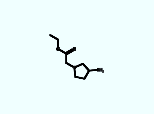 CCOC(=O)CN1CCC(N)C1